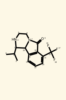 CC(C)C1NCCN2C(=O)c3c(cccc3C(F)(F)F)C12